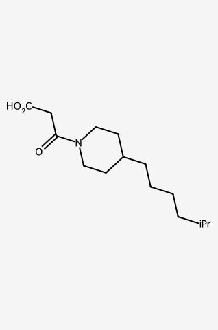 CC(C)CCCCC1CCN(C(=O)CC(=O)O)CC1